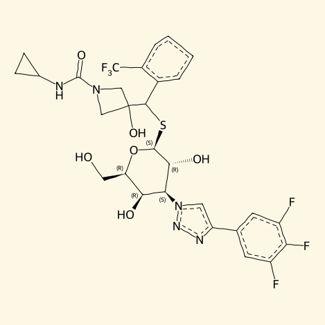 O=C(NC1CC1)N1CC(O)(C(S[C@@H]2O[C@H](CO)[C@H](O)[C@H](n3cc(-c4cc(F)c(F)c(F)c4)nn3)[C@H]2O)c2ccccc2C(F)(F)F)C1